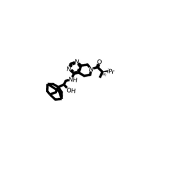 CC(C)[C@@H](C)C(=O)N1CCc2c(ncnc2NCC(O)C23CC4CC(CC(C4)C2)C3)C1